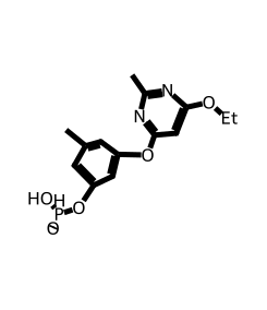 CCOc1cc(Oc2cc(C)cc(O[PH](=O)O)c2)nc(C)n1